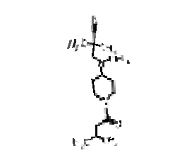 CC(C)CC(=O)N1CCC(N(C)CC(C)(C)C#N)CC1